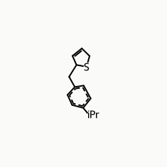 CC(C)c1ccc(CC2C=CCS2)cc1